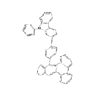 c1ccc(-n2c3ccccc3c3ccc(-c4ccc(-c5c6ccccc6cc6c7ccccc7c7ccccc7c56)cc4)cc32)cc1